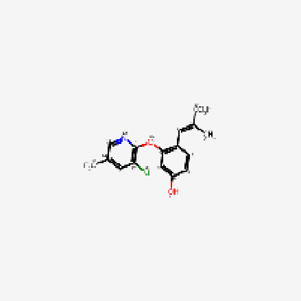 CC(=Cc1ccc(O)cc1Oc1ncc(C(F)(F)F)cc1Cl)C(=O)O